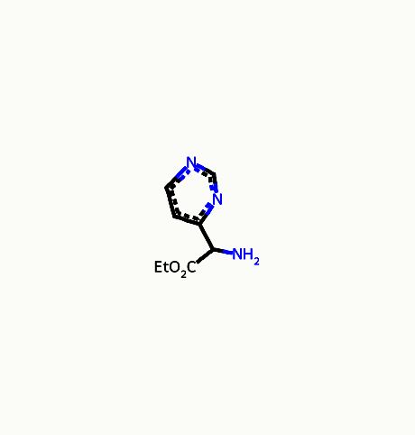 CCOC(=O)C(N)c1ccncn1